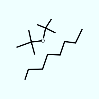 CC(C)(C)OC(C)(C)C.CCCCCCCC